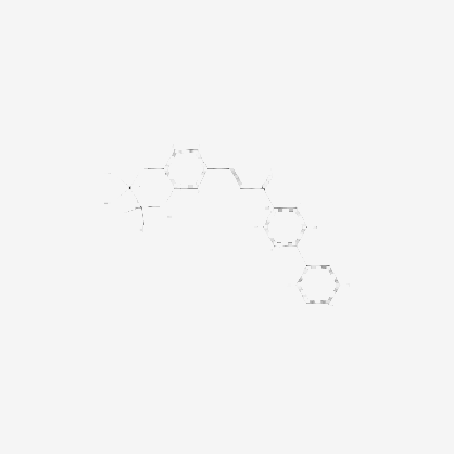 O=C(C=Cc1ccc2c(c1)OC(F)(F)C(F)(F)O2)c1ccc(-c2ccccc2)cc1